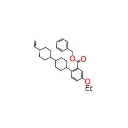 C=CC1CCC(C2CCC(c3ccc(OCC)cc3C(=O)OCc3ccccc3)CC2)CC1